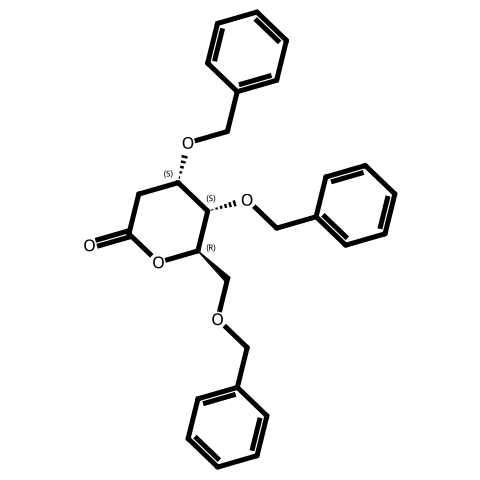 O=C1C[C@H](OCc2ccccc2)[C@H](OCc2ccccc2)[C@@H](COCc2ccccc2)O1